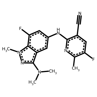 Cc1nc(Nc2cc(F)c3c(c2)c(N(C)C)nn3C)c(C#N)cc1F